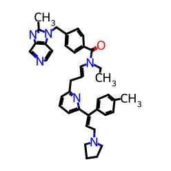 CCN(C=CCc1cccc(C(=CCN2CCCC2)c2ccc(C)cc2)n1)C(=O)c1ccc(Cn2c(C)nc3cnccc32)cc1